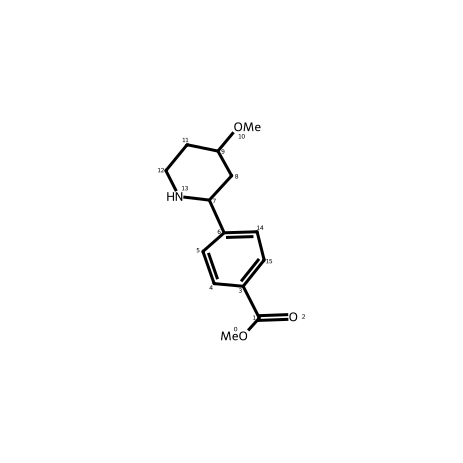 COC(=O)c1ccc(C2CC(OC)CCN2)cc1